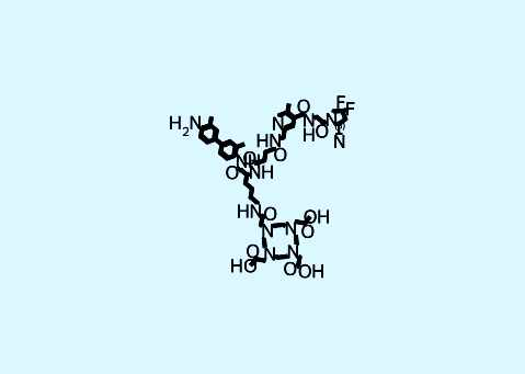 Cc1cc(-c2ccc(NC(=O)C(CCCCNC(=O)CN3CCN(CC(=O)O)CCN(CC(=O)O)CCN(CC(=O)O)CC3)NC(=O)CCC(=O)NCc3cc(C(=O)NCC(=O)N4CC(F)(F)C[C@H]4C#N)c(C)cn3)c(C)c2)ccc1N